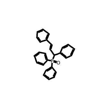 O=P(c1ccccc1)(c1ccccc1)C(C=Cc1ccccc1)c1ccccc1